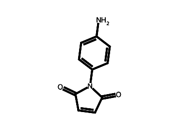 Nc1ccc(N2C(=O)C=CC2=O)cc1